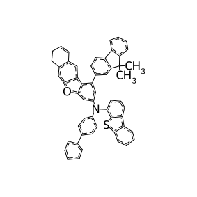 CC1(C)c2ccccc2-c2ccc(-c3cc(N(c4ccc(-c5ccccc5)cc4)c4cccc5c4sc4ccccc45)cc4oc5cc6c(cc5c34)C=CCC6)cc21